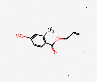 C=CCOC(=O)c1ccc(O)cc1C(F)(F)F